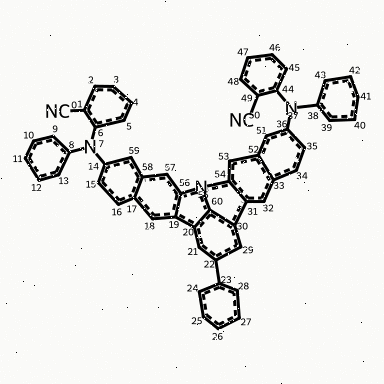 N#Cc1ccccc1N(c1ccccc1)c1ccc2cc3c4cc(-c5ccccc5)cc5c6cc7ccc(N(c8ccccc8)c8ccccc8C#N)cc7cc6n(c3cc2c1)c45